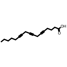 CCCCCC#CCC#CCC#CCCCC(=O)O